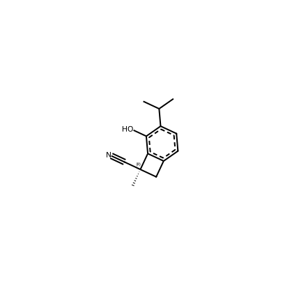 CC(C)c1ccc2c(c1O)[C@](C)(C#N)C2